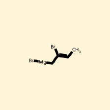 CC=C(Br)[CH2][Mg][Br]